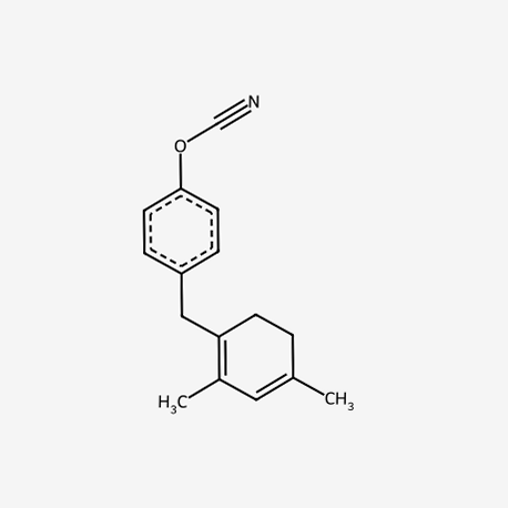 CC1=CC(C)=C(Cc2ccc(OC#N)cc2)CC1